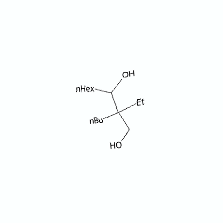 CCCCCCC(O)C(CC)(CO)CCCC